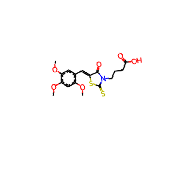 COc1cc(OC)c(OC)cc1/C=C1\SC(=S)N(CCCC(=O)O)C1=O